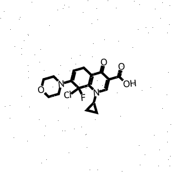 O=C(O)c1cn(C2CC2)c2c(c1=O)CC=C(N1CCOCC1)C2(F)Cl